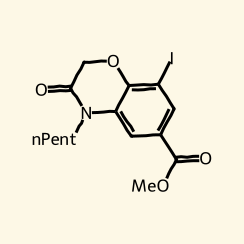 CCCCCN1C(=O)COc2c(I)cc(C(=O)OC)cc21